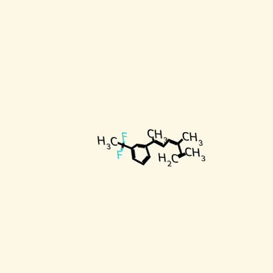 C=C(C)/C(C)=C\C=C(/C)c1cccc(C(C)(F)F)c1